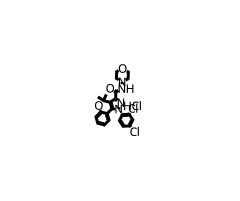 CC1(C)Oc2ccccc2-c2c1c(C(=O)NN1CCOCC1)nn2-c1ccc(Cl)cc1Cl.Cl